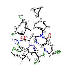 NC(=O)C([C@H](Cc1cc(F)cc(F)c1)c1nc2ncc(Br)cc2c(=O)n1-c1ccc(C2CC2)cc1)n1nc(C(F)F)c2c1C(F)(F)[C@@H]1C[C@H]21